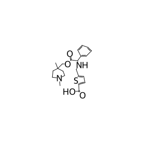 CN1CCC(C)(COC(=O)C(NCc2ccc(C(=O)O)s2)c2ccccc2)CC1